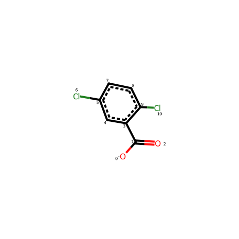 [O]C(=O)c1cc(Cl)ccc1Cl